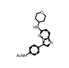 CC(=O)Nc1ccc(-c2cnc3ccc(NC4CCOCC4)nn23)cc1